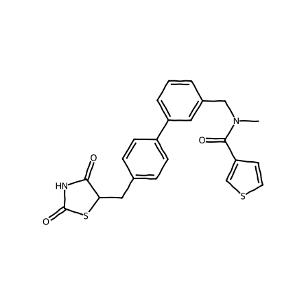 CN(Cc1cccc(-c2ccc(CC3SC(=O)NC3=O)cc2)c1)C(=O)c1ccsc1